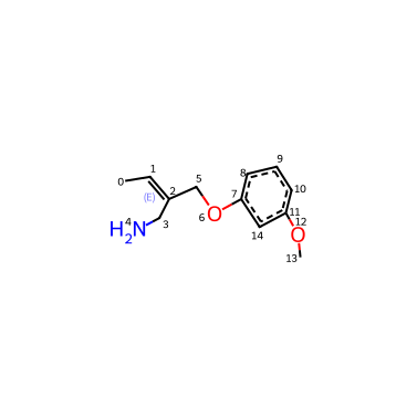 C/C=C(\CN)COc1cccc(OC)c1